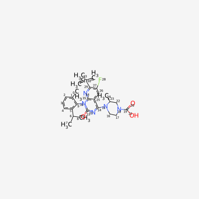 Cc1cccc(C(C)C)c1-n1c(=O)nc(N2CCN(C(=O)O)C[C@@H]2C)c2cc(F)[c]([Sn]([CH3])([CH3])[CH3])nc21